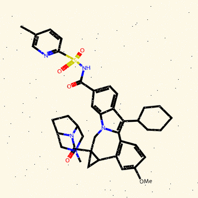 COc1ccc2c(c1)C1CC1(C(=O)N1C3CCC1CN(C)C3)Cn1c-2c(C2CCCCC2)c2ccc(C(=O)NS(=O)(=O)c3ccc(C)cn3)cc21